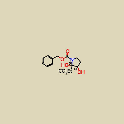 CCOC(=O)[C@]1(O)[C@H](O)CCN1C(=O)OCc1ccccc1